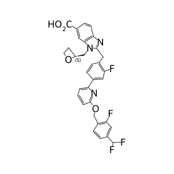 O=C(O)c1ccc2nc(Cc3ccc(-c4cccc(OCc5ccc(C(F)F)cc5F)n4)cc3F)n(C[C@@H]3CCO3)c2c1